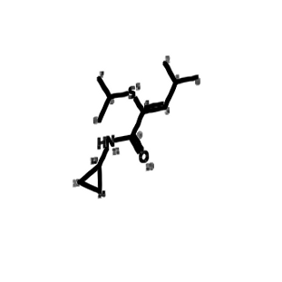 CC(C)/C=C(\SC(C)C)C(=O)NC1CC1